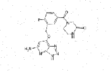 Nc1cc(OCc2cc(C(=O)N3CCNC(=O)C3)ccc2F)c2nn[nH]c2n1